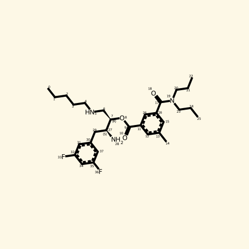 CCCCCNC[C@@H](OC(=O)c1cc(C)cc(C(=O)N(CCC)CCC)c1)[C@@H](N)Cc1cc(F)cc(F)c1